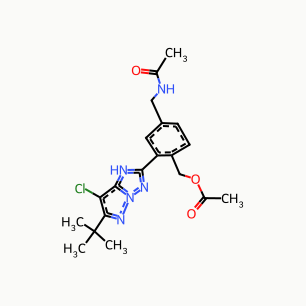 CC(=O)NCc1ccc(COC(C)=O)c(-c2nn3nc(C(C)(C)C)c(Cl)c3[nH]2)c1